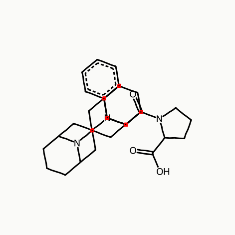 O=C(O)C1CCCN1C(=O)CN(c1ccccc1)C1CC2CCCC(C1)N2C1CC2CCCC(C2)C1